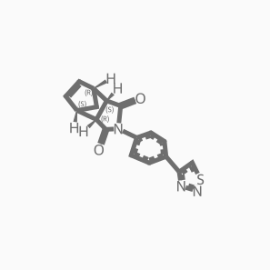 O=C1[C@@H]2[C@H](C(=O)N1c1ccc(-c3csnn3)cc1)[C@@H]1C=C[C@H]2C1